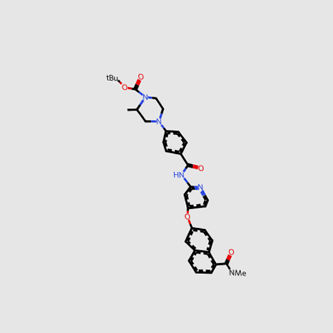 CNC(=O)c1cccc2cc(Oc3ccnc(NC(=O)c4ccc(N5CCN(C(=O)OC(C)(C)C)C(C)C5)cc4)c3)ccc12